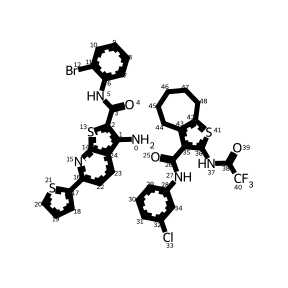 Nc1c(C(=O)Nc2ccccc2Br)sc2nc(-c3cccs3)ccc12.O=C(Nc1cccc(Cl)c1)c1c(NC(=O)C(F)(F)F)sc2c1CCCCC2